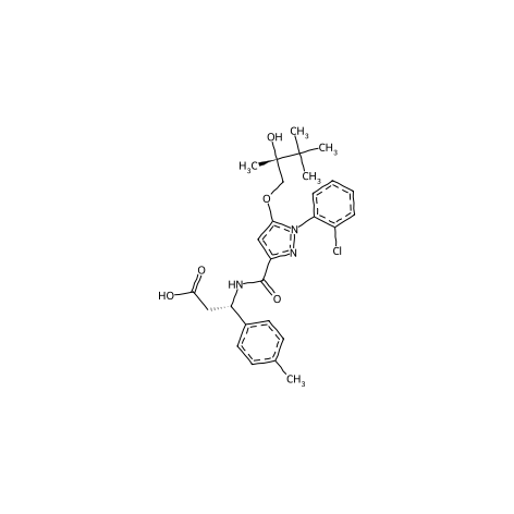 Cc1ccc([C@H](CC(=O)O)NC(=O)c2cc(OC[C@](C)(O)C(C)(C)C)n(-c3ccccc3Cl)n2)cc1